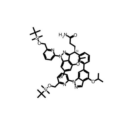 CC(C)Oc1cc(-c2cccc([C@H](CCC(N)=O)c3nn(-c4cccc(CO[Si](C)(C)C(C)(C)C)n4)c4cc(Br)cc(OC(C)C)c34)n2)cc2c1cnn2-c1cccc(CO[Si](C)(C)C(C)(C)C)n1